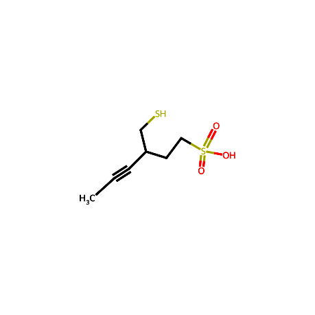 CC#CC(CS)CCS(=O)(=O)O